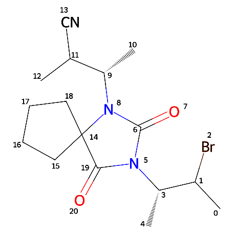 CC(Br)[C@H](C)N1C(=O)N([C@@H](C)C(C)C#N)C2(CCCC2)C1=O